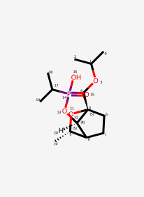 CC(C)OC[C@]12CCC([C@H](C)O1)[C@H]2OP(=O)(O)C(C)C